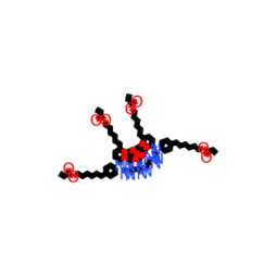 C=CC(=O)OCCCCCCc1ccc(N(c2ccc(CCCCCCOC(=O)C=C)cc2)c2nnc(-c3nnc(-c4nnc(N(c5ccc(CCCCCCOC(=O)C=C)cc5)c5ccc(CCCCCCOC(=O)C=C)cc5)n4-c4ccccc4)n3-c3ccccc3)n2-c2ccccc2)cc1